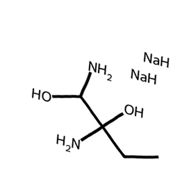 CCC(N)(O)C(N)O.[NaH].[NaH]